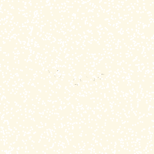 O=Cc1ccc(COc2ccc3c(c2)CN([C@H]2CCCC(=O)NC2=O)C3=O)cc1